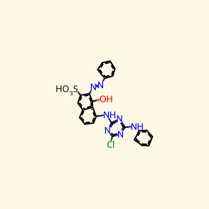 O=S(=O)(O)c1cc2cccc(Nc3nc(Cl)nc(Nc4ccccc4)n3)c2c(O)c1N=Nc1ccccc1